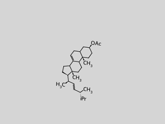 CC(=O)O[C@H]1CC[C@@]2(C)C(CC=C3C2CC[C@@]2(C)C3CC[C@@H]2[C@H](C)/C=C/[C@H](C)C(C)C)C1